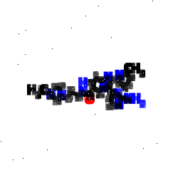 Cc1cccc(-c2nc3ccc(C(=O)NCCCN4CCN(C)CC4)cn3c2-c2ccnc(N)n2)n1